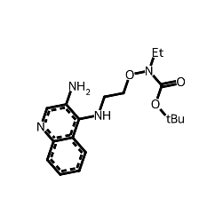 CCN(OCCNc1c(N)cnc2ccccc12)C(=O)OC(C)(C)C